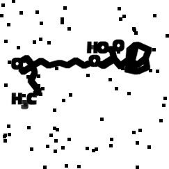 CCCCC1(CCCCCCOC=C(CC23CC4CC(CC(C4)C2)C3)C(=O)O)COC1